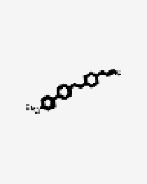 CCOc1ccc(C2CCC(CCC3CCC(CC=CF)CC3)CC2)cc1